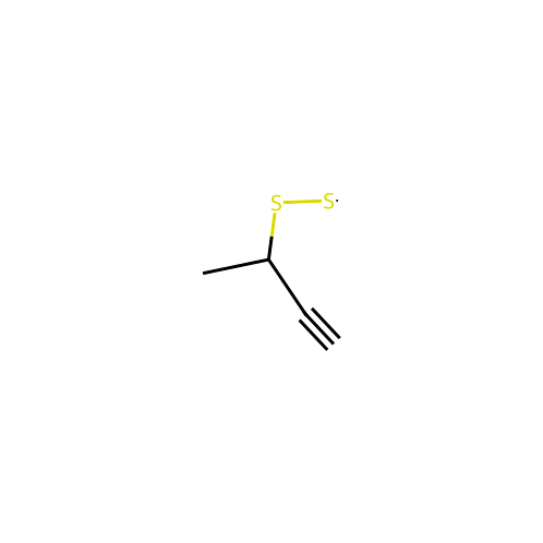 C#CC(C)S[S]